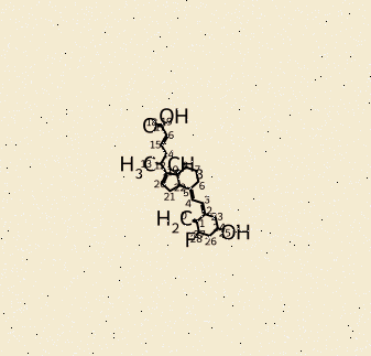 C=C1/C(=C\C=C2/CCCC3(C)C(C(C)C/C=C/C(=O)O)=CCC23)CC(O)CC1F